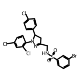 O=S(=O)(NCC1=NN(c2ccc(Cl)cc2Cl)C(c2ccc(Cl)cc2)C1)c1cccc(Br)c1